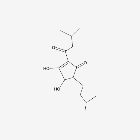 CC(C)CCC1C(=O)C(C(=O)CC(C)C)=C(O)C1O